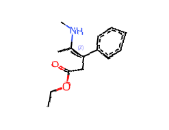 CCOC(=O)C/C(=C(\C)NC)c1ccccc1